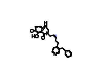 O=C1c2c(O)c(=O)ccn2NCN1C/C=C\CCc1ccncc1Cc1ccccc1